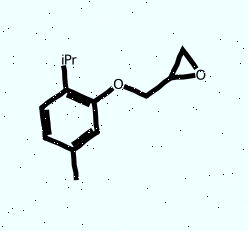 Cc1ccc(C(C)C)c(OCC2CO2)c1